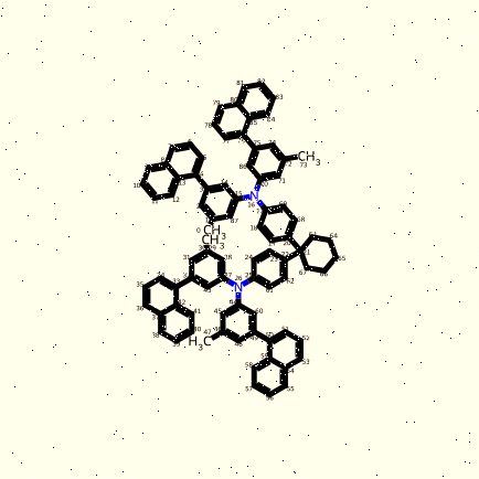 Cc1cc(-c2cccc3ccccc23)cc(N(c2ccc(C3(c4ccc(N(c5cc(C)cc(-c6cccc7ccccc67)c5)c5cc(C)cc(-c6cccc7ccccc67)c5)cc4)CCCCC3)cc2)c2cc(C)cc(-c3cccc4ccccc34)c2)c1